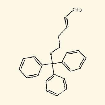 O=CC=CCCSC(c1ccccc1)(c1ccccc1)c1ccccc1